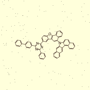 c1ccc(-c2ccc(-c3nc(-c4ccccc4)nc(-c4ccc5oc6c7ccccc7c(-n7c8cc9ccccc9cc8c8c9ccccc9ccc87)cc6c5c4)n3)cc2)cc1